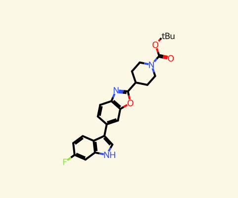 CC(C)(C)OC(=O)N1CCC(c2nc3ccc(-c4c[nH]c5cc(F)ccc45)cc3o2)CC1